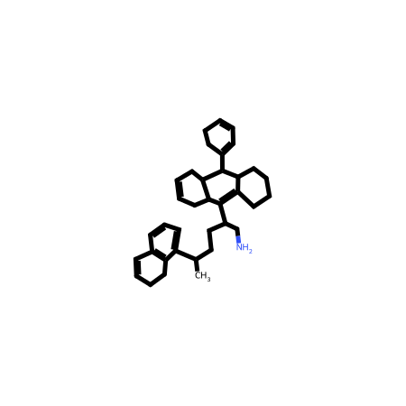 CC(CCC(CN)C1=C2CCCCC2C(C2=CC=CCC2)C2CC=CCC12)c1cccc2c1CCC=C2